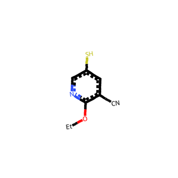 CCOc1ncc(S)cc1C#N